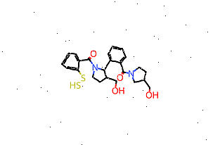 O=C(c1ccccc1C1C(CO)CCN1C(=O)c1ccccc1SS)N1CCC(CO)C1